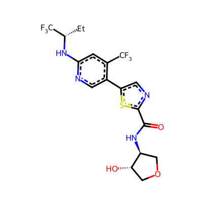 CC[C@H](Nc1cc(C(F)(F)F)c(-c2cnc(C(=O)N[C@H]3COC[C@@H]3O)s2)cn1)C(F)(F)F